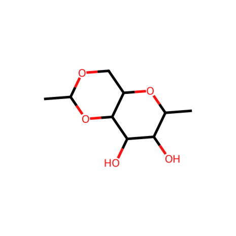 CC1OCC2OC(C)C(O)C(O)C2O1